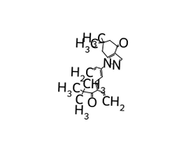 C=C/C(=C\C=C(/C=C)n1ncc2c1CC(C)(C)CC2=O)C(=O)C(C)(C)C